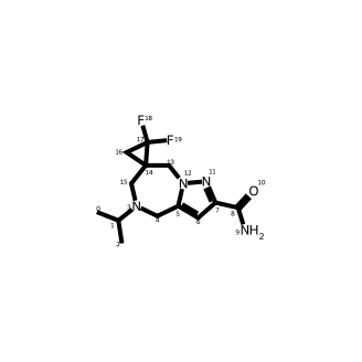 CC(C)N1Cc2cc(C(N)=O)nn2CC2(C1)CC2(F)F